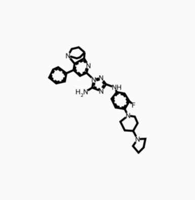 Nc1nc(Nc2ccc(N3CCC(N4CCCC4)CC3)c(F)c2)nn1-c1cc(-c2ccccc2)c2c(n1)C1CCN2CC1